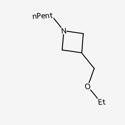 CCCCCN1CC(COCC)C1